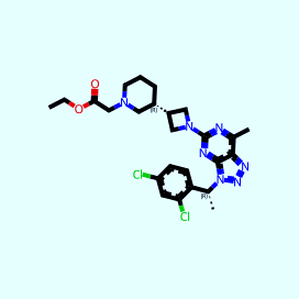 CCOC(=O)CN1CCC[C@H](C2CN(c3nc(C)c4nnn([C@H](C)c5ccc(Cl)cc5Cl)c4n3)C2)C1